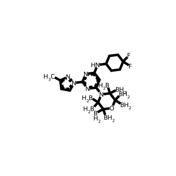 BC1(B)OC(B)(B)C(B)(B)N(c2cc(NC3CCC(F)(F)CC3)nc(-n3ccc(C)n3)n2)C1(B)B